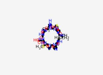 CC[C@@H]1NC(=O)[C@H](Cc2c[nH]cn2)NC(O)[C@H](Cc2cscn2)NC(=O)[C@H]2CCCN2C(=O)[C@@H](NC(C)(C)C)CCCNC(=O)[C@H](Cc2cccnc2)NC(=O)[C@H](CC2CC2)NC(=O)[C@H](CCSC)NC(=O)[C@H](CCC(=O)O)NC(=O)CNC1=O